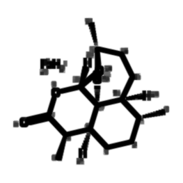 C[C@@H]1CC[C@H]2[C@@H](C)C(=O)O[C@@H]3O[C@]4(C)CC[C@@H]1[C@]32OO4.[PbH2]